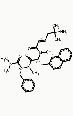 CN(C)C(=O)[C@@H](Cc1ccccc1)N(C)C(=O)[C@@H](Cc1ccc2ccccc2c1)N(C)C(=O)/C=C/CC(C)(C)N